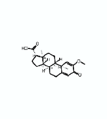 COC1=C[C@@]2(C)C(=CC1=O)CC[C@H]1[C@@H]3CC[C@H](C(=O)O)[C@@]3(C)CC[C@@H]12